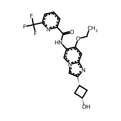 CCOc1cc2nc([C@H]3C[C@@H](O)C3)cn2cc1NC(=O)c1cccc(C(F)(F)F)n1